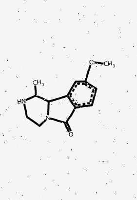 COc1ccc2c(c1)C1C(C)NCCN1C2=O